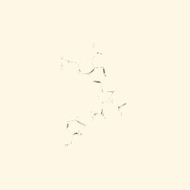 CC(=O)N1CC(c2ccc(OC(F)F)c(OCC3CC3)c2)C[C@@H]1C(=O)NCc1cccc(CO)n1